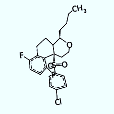 CCCC[C@H]1OCC[C@]2(S(=O)(=O)c3ccc(Cl)cc3)c3c(F)ccc(F)c3CCC12